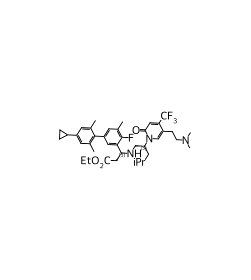 CCOC(=O)C[C@H](NC[C@H](CC(C)C)n1cc(CCN(C)C)c(C(F)(F)F)cc1=O)c1cc(-c2c(C)cc(C3CC3)cc2C)cc(C)c1F